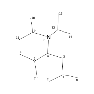 CC(C)CC(C(C)C)N(C(C)C)C(C)C